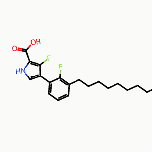 CCCCCCCCCc1cccc(-c2c[nH]c(C(=O)O)c2F)c1F